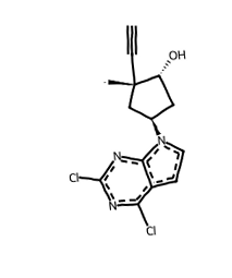 C#C[C@@]1([CH2])C[C@H](n2ccc3c(Cl)nc(Cl)nc32)C[C@H]1O